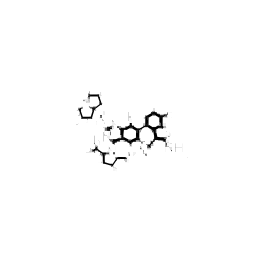 C[C@H]1CN2CCC[C@@]2(COc2nc3c4c(c(Cl)c(-c5ccc(F)c6sc(N)c(C#N)c56)c(F)c4n2)OCC2CCC(C(F)F)N32)C1